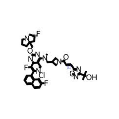 CN(CC1CN(C(=O)/C=C/c2nc(C(C)(C)O)no2)C1)c1nc(OCC23CCCN2C[C@H](F)C3)nc2c(F)c(-c3cccc4ccc(F)c(Cl)c34)ncc12